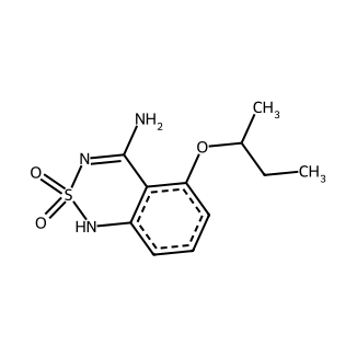 CCC(C)Oc1cccc2c1C(N)=NS(=O)(=O)N2